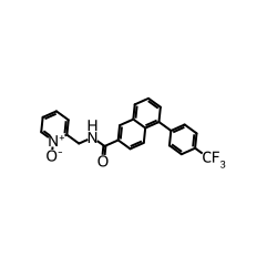 O=C(NCc1cccc[n+]1[O-])c1ccc2c(-c3ccc(C(F)(F)F)cc3)cccc2c1